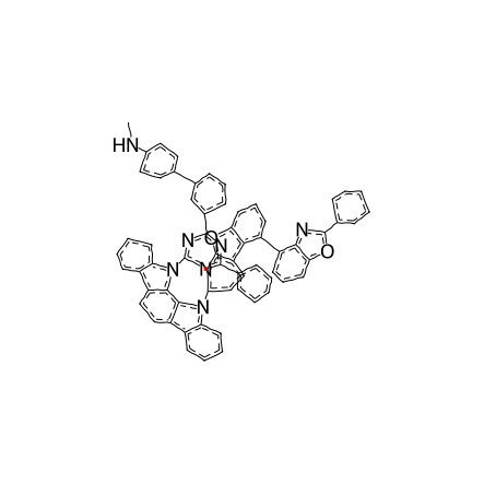 CNc1ccc(-c2cccc(-c3nc(-c4ccccc4)nc(-n4c5ccccc5c5ccc6c7ccccc7n(-c7ccc8c(c7)oc7cccc(-c9cccc%10oc(-c%11ccccc%11)nc9%10)c78)c6c54)n3)c2)cc1